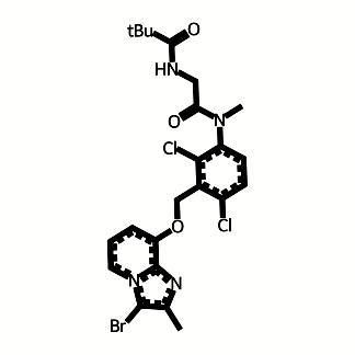 Cc1nc2c(OCc3c(Cl)ccc(N(C)C(=O)CNC(=O)C(C)(C)C)c3Cl)cccn2c1Br